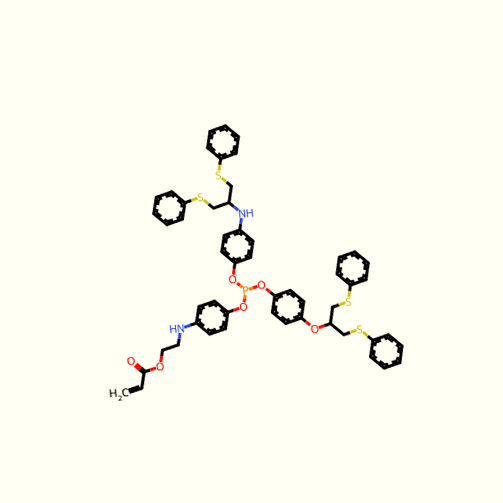 C=CC(=O)OCCNc1ccc(OP(Oc2ccc(NC(CSc3ccccc3)CSc3ccccc3)cc2)Oc2ccc(OC(CSc3ccccc3)CSc3ccccc3)cc2)cc1